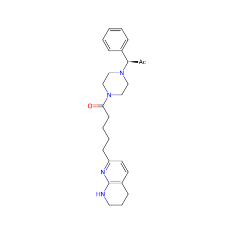 CC(=O)[C@H](c1ccccc1)N1CCN(C(=O)CCCCc2ccc3c(n2)NCCC3)CC1